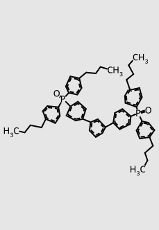 CCCCc1ccc(P(=O)(c2ccc(CCCC)cc2)c2ccc(-c3cccc(-c4ccc(P(=O)(c5ccc(CCCC)cc5)c5ccc(CCCC)cc5)cc4)c3)cc2)cc1